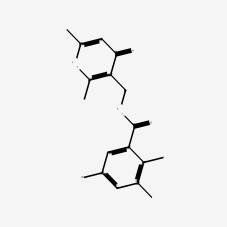 Cc1cc(=O)c(CNC(=O)c2cc(Cl)cc(C)c2C)c(C)[nH]1